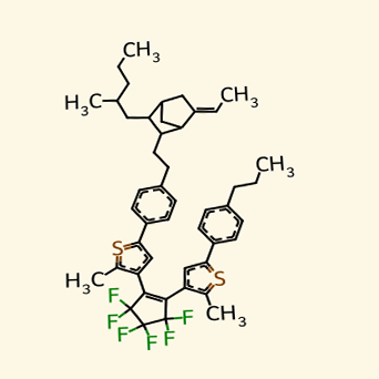 C/C=C1\CC2CC1C(CCc1ccc(-c3cc(C4=C(c5cc(-c6ccc(CCC)cc6)sc5C)C(F)(F)C(F)(F)C4(F)F)c(C)s3)cc1)C2CC(C)CCC